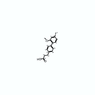 COc1cc(F)ccc1-c1ccc(CCC(=O)O)cc1